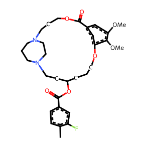 COc1cc2cc(c1OC)OCCCC(OC(=O)c1ccc(C)c(F)c1)CCN1CCCN(CCCOC2=O)CC1